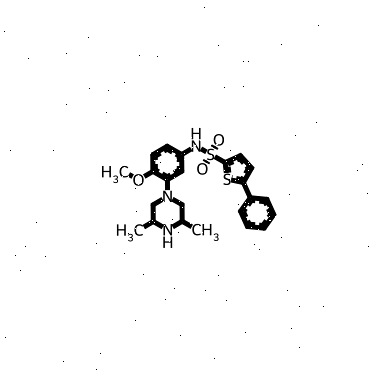 COc1ccc(NS(=O)(=O)c2ccc(-c3ccccc3)s2)cc1N1CC(C)NC(C)C1